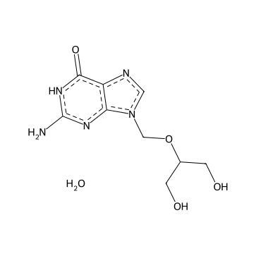 Nc1nc2c(ncn2COC(CO)CO)c(=O)[nH]1.O